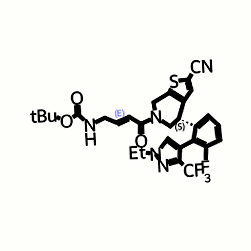 CCn1cc(-c2c(F)cccc2[C@@H]2CN(C(=O)/C=C/CNC(=O)OC(C)(C)C)Cc3sc(C#N)cc32)c(C(F)(F)F)n1